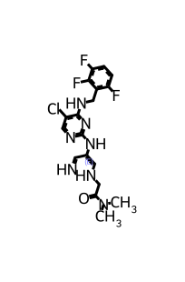 CN(C)C(=O)CN/C=C(\C=N)Nc1ncc(Cl)c(NCc2c(F)ccc(F)c2F)n1